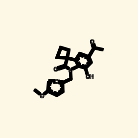 COc1ccc(CN2C(=O)C3(CCC3)c3cc(C(C)=O)cc(O)c32)cc1